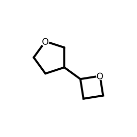 C1CC(C2CCO2)CO1